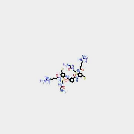 N=C(N)NCCCCC(=O)Nc1cc(CF)cc(NC(=O)c2cccc(C(=O)Nc3cc(CF)cc(NC(=O)CCCCNC(=N)N)c3SCCNC(=O)CN)c2)c1SCCNC(=O)CN